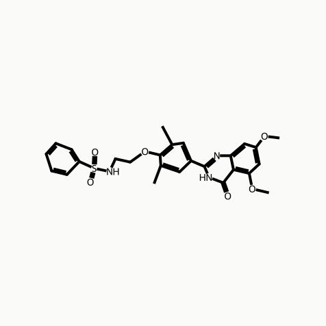 COc1cc(OC)c2c(=O)[nH]c(-c3cc(C)c(OCCNS(=O)(=O)c4ccccc4)c(C)c3)nc2c1